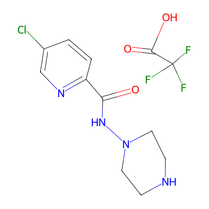 O=C(NN1CCNCC1)c1ccc(Cl)cn1.O=C(O)C(F)(F)F